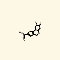 NC(=O)c1cc2c(s1)-c1cc(F)c(F)cc1OC2